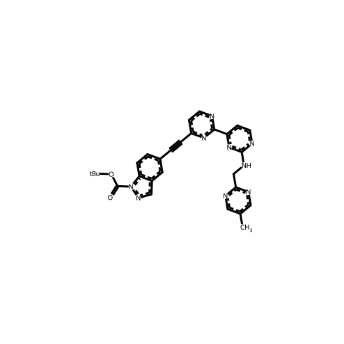 Cc1cnc(CNc2nccc(-c3nccc(C#Cc4ccc5c(cnn5C(=O)OC(C)(C)C)c4)n3)n2)nc1